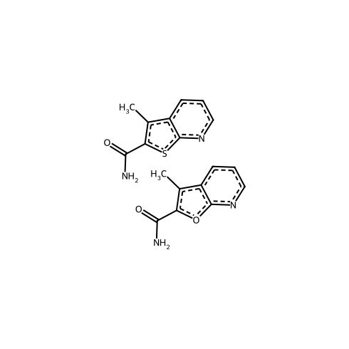 Cc1c(C(N)=O)oc2ncccc12.Cc1c(C(N)=O)sc2ncccc12